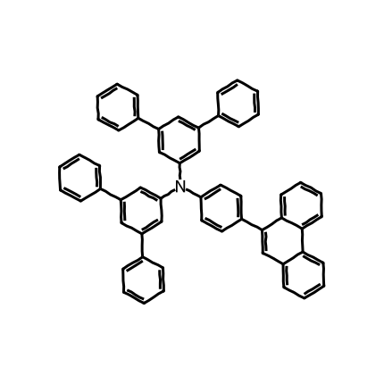 c1ccc(-c2cc(-c3ccccc3)cc(N(c3ccc(-c4cc5ccccc5c5ccccc45)cc3)c3cc(-c4ccccc4)cc(-c4ccccc4)c3)c2)cc1